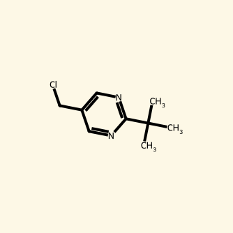 CC(C)(C)c1ncc(CCl)cn1